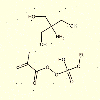 C=C(C)C(=O)OOP(=O)(O)OCC.NC(CO)(CO)CO